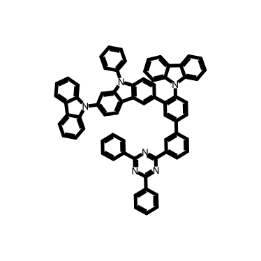 c1ccc(-c2nc(-c3ccccc3)nc(-c3cccc(-c4ccc(-n5c6ccccc6c6ccccc65)c(-c5ccc6c(c5)c5ccc(-n7c8ccccc8c8ccccc87)cc5n6-c5ccccc5)c4)c3)n2)cc1